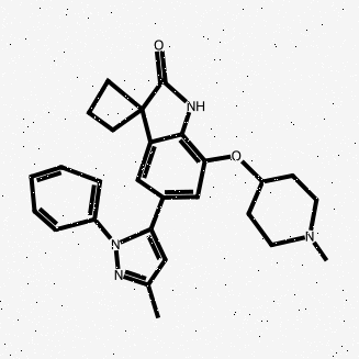 Cc1cc(-c2cc(OC3CCN(C)CC3)c3c(c2)C2(CCC2)C(=O)N3)n(-c2ccccc2)n1